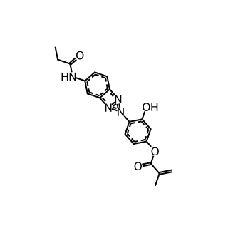 C=C(C)C(=O)Oc1ccc(-n2n3c4ccc(NC(=O)CC)cc4n23)c(O)c1